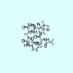 CC(C)(C)C(NC(=O)C1CC1)C(=O)N1C[C@H]2[C@@H]([C@H]1C(=O)NC(CC1Oc3ccccc3NC1=O)C(N)=O)C2(C)C